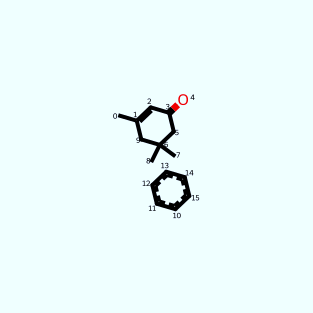 CC1=CC(=O)CC(C)(C)C1.c1ccccc1